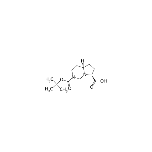 CC(C)(C)OC(=O)N1CC[C@@H]2CC[C@@H](C(=O)O)N2C1